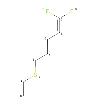 C[CH]SCCCC=C(F)F